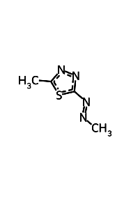 CN=Nc1nnc(C)s1